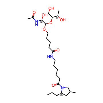 CCC[C@@H]1CC(C)CN1C(=O)CCCCCNC(=O)CCCCOC(OC(CO)[C@@H](C)O)[C@H](O)NC(C)=O